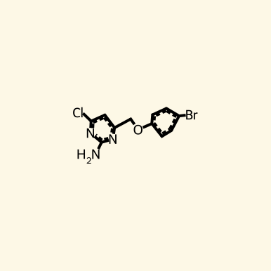 Nc1nc(Cl)cc(COc2ccc(Br)cc2)n1